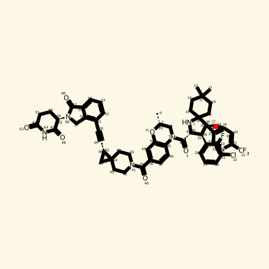 C[C@@H]1CN(C(=O)[C@@H]2NC3(CCC(C)(C)CC3)[C@@]3(CNc4cc(C(F)(F)F)ncc43)[C@H]2c2cccc(Cl)c2F)c2ccc(C(=O)N3CCC4(CC3)C[C@@H]4C#Cc3cccc4c3CN([C@H]3CCC(=O)NC3=O)C4=O)cc2O1